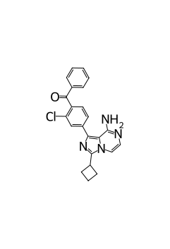 Nc1nccn2c(C3CCC3)nc(-c3ccc(C(=O)c4ccccc4)c(Cl)c3)c12